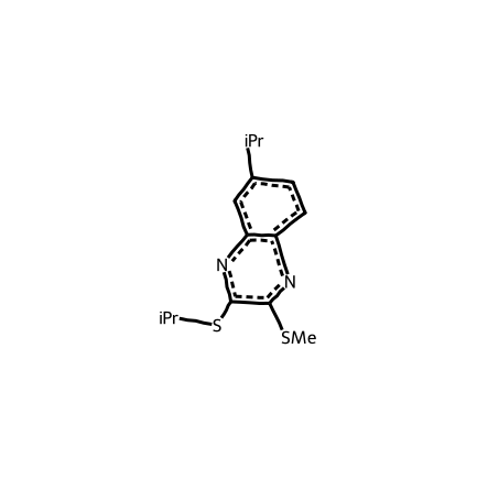 CSc1nc2ccc(C(C)C)cc2nc1SC(C)C